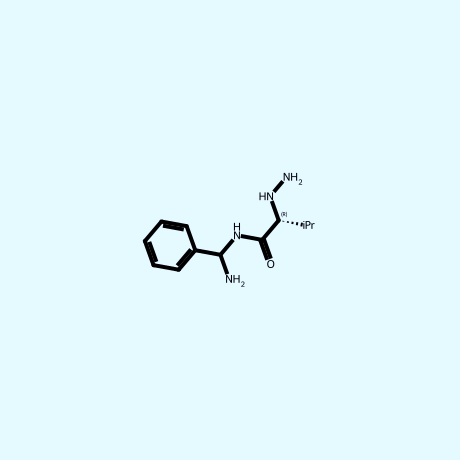 CC(C)[C@@H](NN)C(=O)NC(N)c1ccccc1